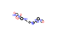 O=C1CCC(N2C(=O)c3ccc(NCCC[C@H]4C[C@H](n5cc(-c6cnc7c(N8CCOCC8)cccc7n6)cn5)C4)cc3C2=O)C(=O)N1